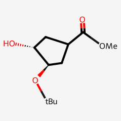 COC(=O)C1C[C@@H](O)[C@H](OC(C)(C)C)C1